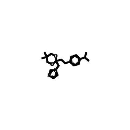 CC(C)c1ccc(CCC2(Cn3ccnc3)OCC(C)(C)CO2)cc1